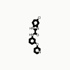 O=C(Nc1cccc(Oc2cccnc2)c1)c1nc2cc(Cl)ccc2[nH]1